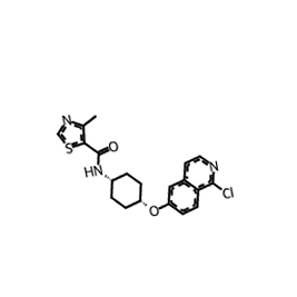 Cc1ncsc1C(=O)N[C@H]1CC[C@@H](Oc2ccc3c(Cl)nccc3c2)CC1